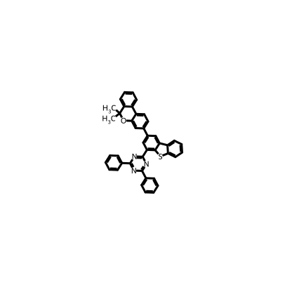 CC1(C)Oc2cc(-c3cc(-c4nc(-c5ccccc5)nc(-c5ccccc5)n4)c4sc5ccccc5c4c3)ccc2-c2ccccc21